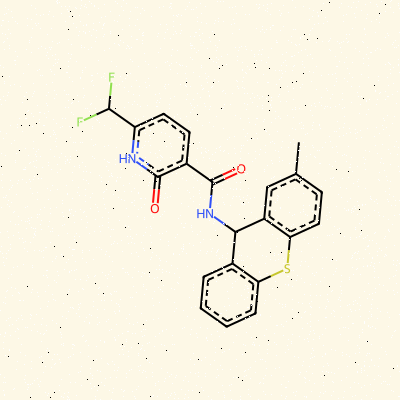 Cc1ccc2c(c1)C(NC(=O)c1ccc(C(F)F)[nH]c1=O)c1ccccc1S2